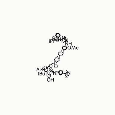 COc1cc(N2CCC(N3CCN(C(=O)COCCON(C(C)=O)[C@H](C(=O)N4C[C@H](O)C[C@H]4C(=O)NCc4ccc(-c5scnc5C)cc4)C(C)(C)C)CC3)CC2)ccc1Nc1ncnc(Nc2ccccc2S(=O)(=O)C(C)C)n1